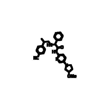 COC1CCN(c2ccc(NC(=O)C(NCC(C)c3ccc(C#N)cc3)c3ccccc3)nc2)C1